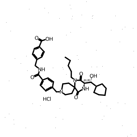 CCCCCN1C(=O)[C@@H]([C@H](O)C2CCCCC2)NC(=O)C12CCN(Cc1ccc(C(=O)NCc3ccc(C(=O)O)cc3)cc1)CC2.Cl